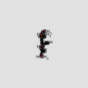 COc1ccc(CN2CC(=O)N(C3CC4(CCN(c5ccc(C(=O)NS(=O)(=O)c6ccc(NCC7CCC(C)(O)CC7)c([N+](=O)[O-])c6)c(Oc6cnc7[nH]ccc7c6)c5)CC4)C3)C(c3ccccc3C(C)C)C2)cc1